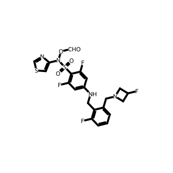 O=CON(c1cscn1)S(=O)(=O)c1c(F)cc(NCc2c(F)cccc2CN2CC(F)C2)cc1F